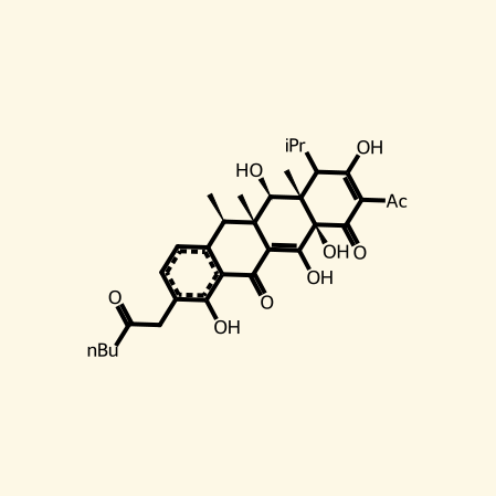 CCCCC(=O)Cc1ccc2c(c1O)C(=O)C1=C(O)[C@@]3(O)C(=O)C(C(C)=O)=C(O)C(C(C)C)[C@@]3(C)[C@H](O)[C@@]1(C)[C@@H]2C